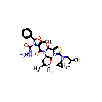 CC1=C(C(=O)N(C(=O)c2csc(N(CC(C)C)C3CC3)n2)[C@H]([C]=O)CC(C)C)N(C(=O)NN)C(c2ccccc2)O1